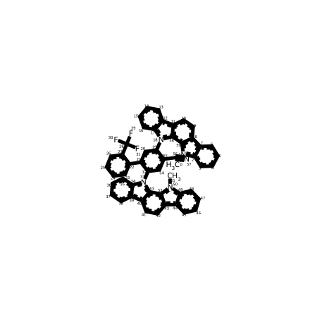 Cn1c2ccccc2c2ccc3c4ccccc4n(-c4cc(-c5ccccc5C(F)(F)F)c(-n5c6ccccc6c6ccc7c8ccccc8n(C)c7c65)cc4C#N)c3c21